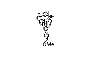 C=CC(=O)Nc1cc(-c2c(F)ccc3cnc(Nc4ccc(N5CCN(CCOC)CC5)cc4F)nc23)ccn1